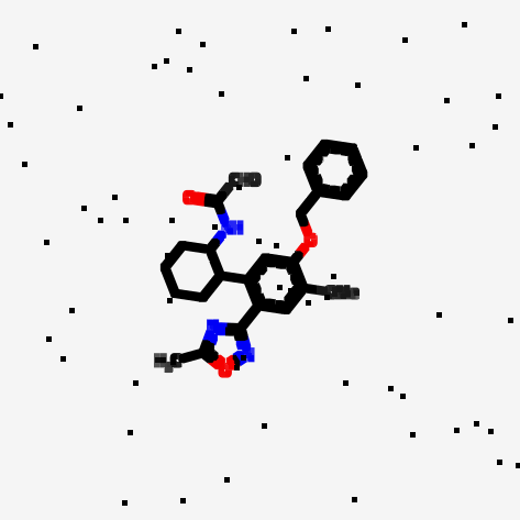 COc1cc(-c2noc(C)n2)c(C2CCCCC2NC(=O)C=O)cc1OCc1ccccc1